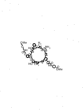 COCCOCCNC(=O)COc1ccc(C[C@@H]2NC(=O)c3csc(n3)[C@H]([C@H](O)c3ccccc3)NC(=O)c3nc(sc3C)[C@H](CC(N)=O)NC(=O)c3csc(n3)-c3ccc(-c4nc(C(=O)N[C@H]5CC[C@H](C(=O)OC)CC5)cs4)nc3-c3csc(n3)-c3csc(n3)[C@@H]3[C@@H](C)[C@@H](O)CN3C2=O)cc1